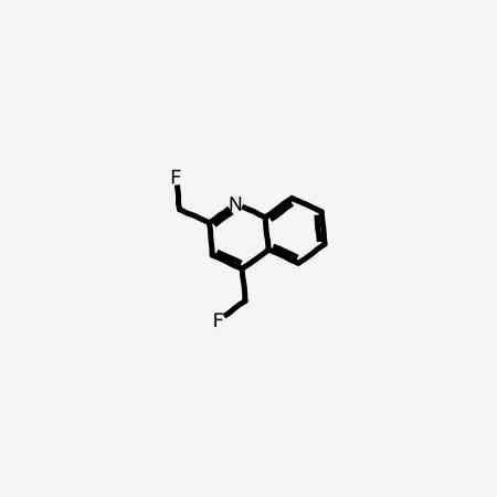 FCc1cc(CF)c2ccccc2n1